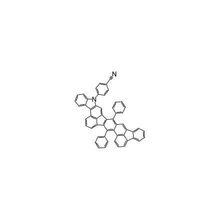 N#Cc1ccc(-n2c3ccccc3c3c4cccc5c6c(-c7ccccc7)c7c(cc8c9ccccc9c9cccc7c98)c(-c7ccccc7)c6c(cc32)c54)cc1